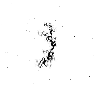 CCOC(=O)CC[C@H](NC(=O)c1cc(CCN2C=Nc3[nH]c(NC(=O)C(C)(C)C)cc3C2O)cs1)C(=O)OCC